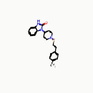 O=c1[nH]c2ccccc2n1C1CCN(SCCc2ccc(C(F)(F)F)cc2)CC1